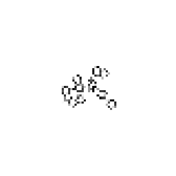 CC1(C)c2cccc(-c3ccc(-c4nc(-c5ccc(-c6ccccc6)cc5)cc(-c5cccc6ccccc56)n4)c4ccccc34)c2-c2c1ccc1ccccc21